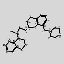 CN(CC[C@H]1Cc2c(cccc2CN2CCOCC2)CN1)[C@H]1CCCc2cccnc21